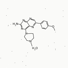 COc1ccc(-c2cnc3nc(N)nc(N4CCN(C)CC4)c3n2)cc1.O